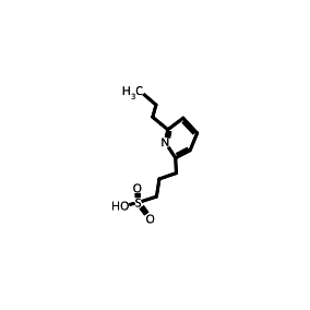 CCCc1cccc(CCCS(=O)(=O)O)n1